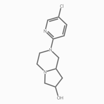 OC1CC2CN(c3ccc(Cl)cn3)CCN2C1